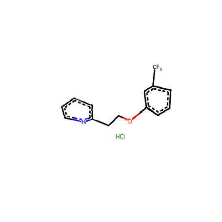 Cl.FC(F)(F)c1cccc(OCCc2ccccn2)c1